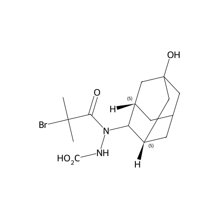 CC(C)(Br)C(=O)N(NC(=O)O)C1[C@H]2CC3C[C@H]1CC(O)(C3)C2